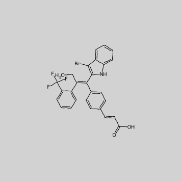 CC/C(=C(/c1ccc(/C=C/C(=O)O)cc1)c1[nH]c2ccccc2c1Br)c1ccccc1C(F)(F)F